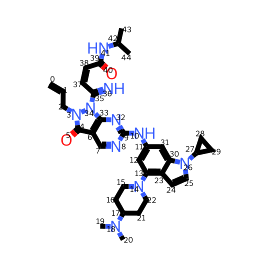 C=CCn1c(=O)c2cnc(Nc3cc(N4CCC(N(C)C)CC4)c4ccn(C5CC5)c4c3)nc2n1C(=N)/C=C\C(=O)NC(C)C